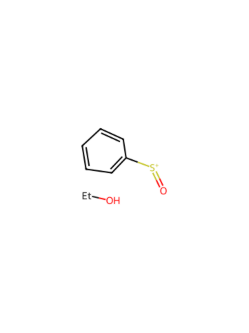 CCO.O=[S+]c1ccccc1